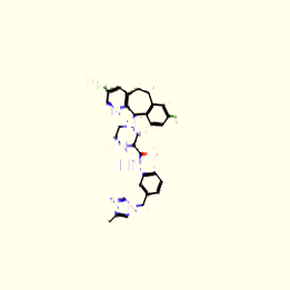 Cc1cn(Cc2cccc(NC(=O)C3CN(C4c5ccc(Cl)cc5CCc5cc(Br)cnc54)CCN3)c2)cn1